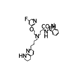 Cn1cc(NC(CCN(CCCCc2ccc3c(n2)NCCC3)CCOc2cncc(F)c2)C(=O)O)c2ccccc21